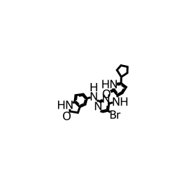 O=C1Cc2cc(Nc3ncc(Br)c(Nc4ccc(C5CCCC5)[nH]c4=O)n3)ccc2N1